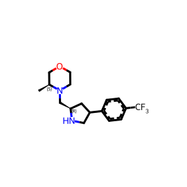 C[C@H]1COCCN1C[C@H]1CC(c2ccc(C(F)(F)F)cc2)CN1